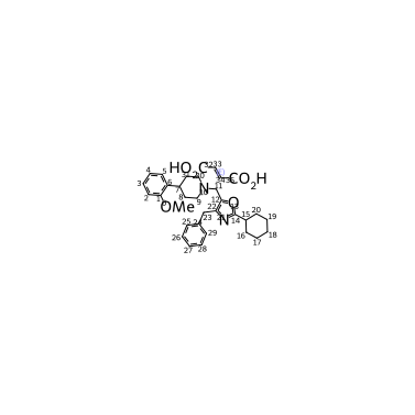 COc1ccccc1C1CCN(Cc2oc(C3CCCCC3)nc2Cc2ccccc2)CC1.O=C(O)/C=C/C(=O)O